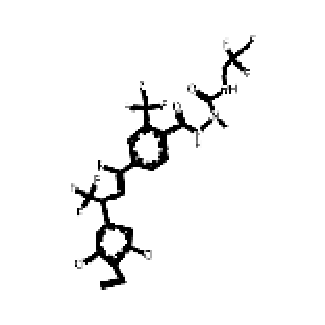 C=Cc1c(Cl)cc(C(C=C(F)c2ccc(C(=O)NN(C)C(=O)NCC(F)(F)F)c(C(F)(F)F)c2)C(F)(F)F)cc1Cl